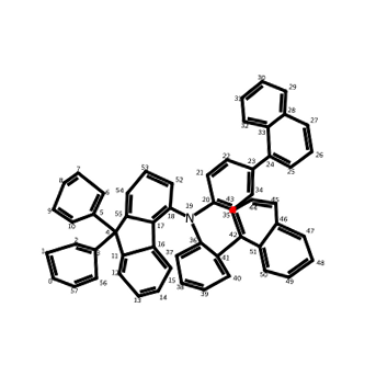 c1ccc(C2(c3ccccc3)c3ccccc3-c3c(N(c4ccc(-c5cccc6ccccc56)cc4)c4ccccc4-c4cccc5ccccc45)cccc32)cc1